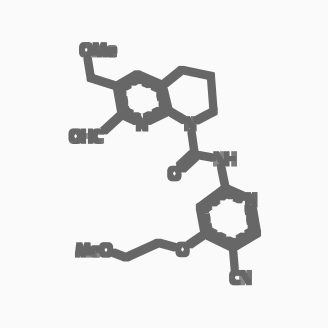 COCCOc1cc(NC(=O)N2CCCc3cc(COC)c(C=O)nc32)ncc1C#N